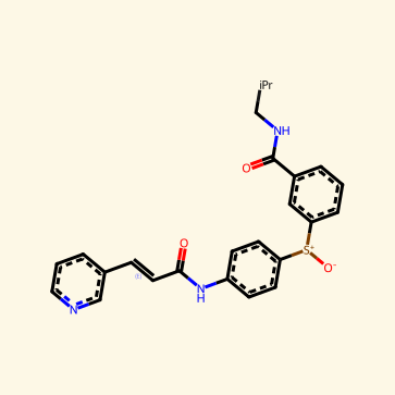 CC(C)CNC(=O)c1cccc([S+]([O-])c2ccc(NC(=O)/C=C/c3cccnc3)cc2)c1